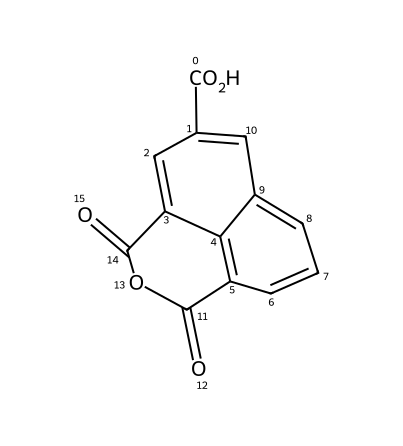 O=C(O)c1cc2c3c(cccc3c1)C(=O)OC2=O